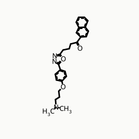 CN(C)CCCOc1ccc(-c2nnc(CCCC(=O)c3ccc4ccccc4c3)o2)cc1